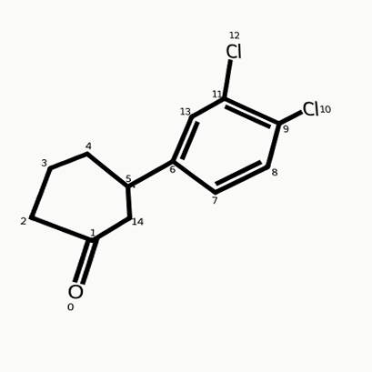 O=C1CCC[C](c2ccc(Cl)c(Cl)c2)C1